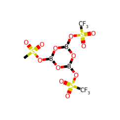 CS(=O)(=O)OB1OB(OS(=O)(=O)C(F)(F)F)OB(OS(=O)(=O)C(F)(F)F)O1